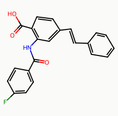 O=C(Nc1cc(C=Cc2ccccc2)ccc1C(=O)O)c1ccc(F)cc1